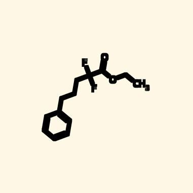 CCOC(=O)C(F)(F)CCCc1ccccc1